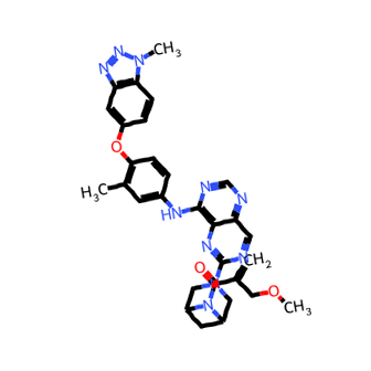 C=C(COC)C(=O)N1C2CC1CN(c1ncc3ncnc(Nc4ccc(Oc5ccc6c(c5)nnn6C)c(C)c4)c3n1)C2